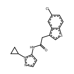 O=C(Cc1csc2ccc(Cl)cc12)Nc1ccnn1C1CC1